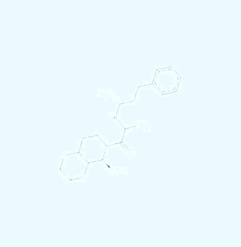 CC(N[C@@H](CCc1ccccc1)C(=O)O)C(=O)N1CCC2SCCSC2[C@@H]1C(=O)O